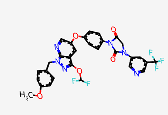 COc1ccc(Cn2nc(OC(F)F)c3cc(Oc4ccc(N5C(=O)CN(c6cncc(C(F)(F)F)c6)C5=O)cc4)cnc32)cc1